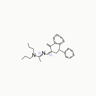 C=C1/C(=C\N=C(/C)N(CCC)CCC)CC(c2ccccc2)c2ccccc21